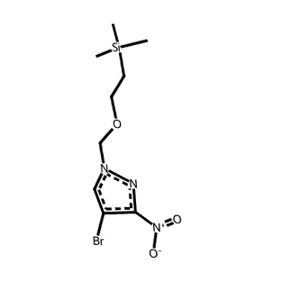 C[Si](C)(C)CCOCn1cc(Br)c([N+](=O)[O-])n1